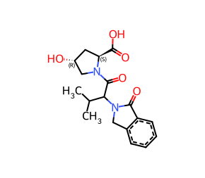 CC(C)C(C(=O)N1C[C@H](O)C[C@H]1C(=O)O)N1Cc2ccccc2C1=O